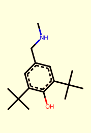 CNCc1cc(C(C)(C)C)c(O)c(C(C)(C)C)c1